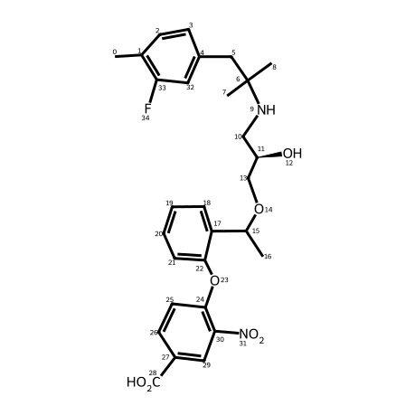 Cc1ccc(CC(C)(C)NC[C@@H](O)COC(C)c2ccccc2Oc2ccc(C(=O)O)cc2[N+](=O)[O-])cc1F